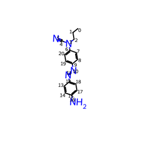 CCCN(C#N)c1ccc(N=Nc2ccc(N)cc2)cc1